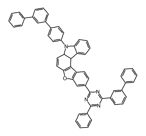 C1=CC2C(c3ccccc3N2c2ccc(-c3cccc(-c4ccccc4)c3)cc2)c2c1oc1cc(-c3nc(-c4ccccc4)nc(-c4cccc(-c5ccccc5)c4)n3)ccc21